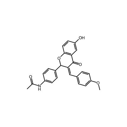 COc1ccc(C=C2C(=O)c3cc(O)ccc3OC2c2ccc(NC(C)=O)cc2)cc1